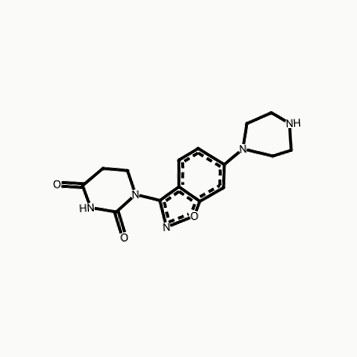 O=C1CCN(c2noc3cc(N4CCNCC4)ccc23)C(=O)N1